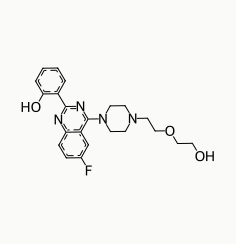 OCCOCCN1CCN(c2nc(-c3ccccc3O)nc3ccc(F)cc23)CC1